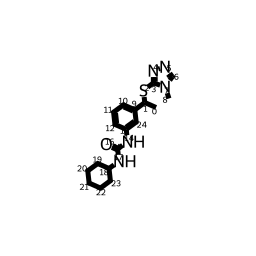 CC(Sc1nncn1C)c1cccc(NC(=O)NC2CCCCC2)c1